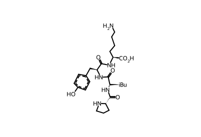 CC[C@H](C)[C@H](NC(=O)[C@@H]1CCCN1)C(=O)N[C@@H](Cc1ccc(O)cc1)C(=O)N[C@@H](CCCCN)C(=O)O